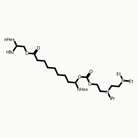 CCCCCCC(CCCC)COC(=O)CCCCCCCC(CCCCCC)OC(=O)OCCN(CCN(CC)CC)C(C)C